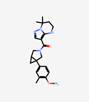 Cc1cc(C23CC2CN(C(=O)c2cnn4c2NCCC4(C)C)C3)ccc1OC(F)(F)F